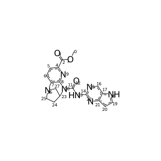 COC(=O)c1ccc2c(n1)N(C(=O)Nc1ncc3[nH]ccc3n1)C1CCN2C1